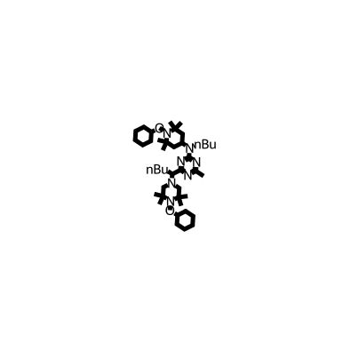 CCCCC(c1nc(C)nc(N(CCCC)C2CC(C)(C)N(OC3CCCCC3)C(C)(C)C2)n1)N1CC(C)(C)N(OC2CCCCC2)C(C)(C)C1